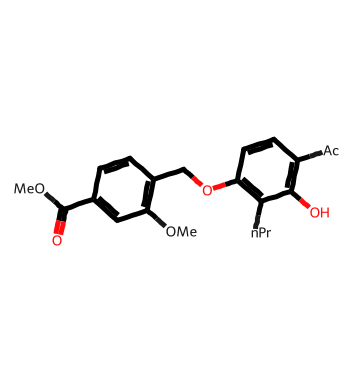 CCCc1c(OCc2ccc(C(=O)OC)cc2OC)ccc(C(C)=O)c1O